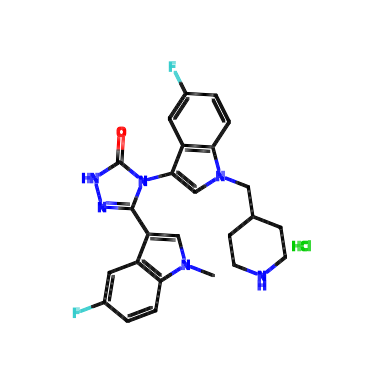 Cl.Cn1cc(-c2n[nH]c(=O)n2-c2cn(CC3CCNCC3)c3ccc(F)cc23)c2cc(F)ccc21